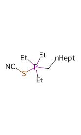 CCCCCCCCP(CC)(CC)(CC)SC#N